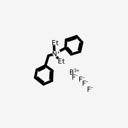 CC[N+](CC)(Cc1ccccc1)c1ccccc1.[B+3].[F-].[F-].[F-].[F-]